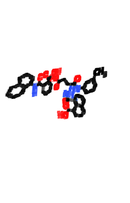 Cc1cccc(NC(=O)CCC(=O)O)c1.NC(=O)c1cccc2cccc(C(=O)O)c12.O=C(O)c1ccccc1C(=O)Nc1cccc2ccccc12